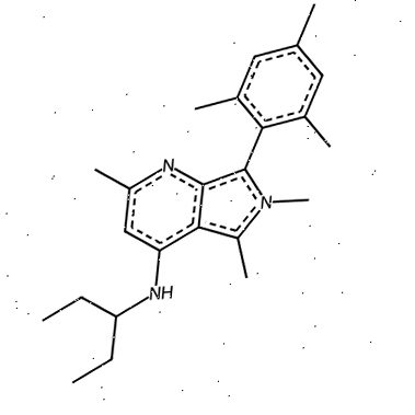 CCC(CC)Nc1cc(C)nc2c(-c3c(C)cc(C)cc3C)n(C)c(C)c12